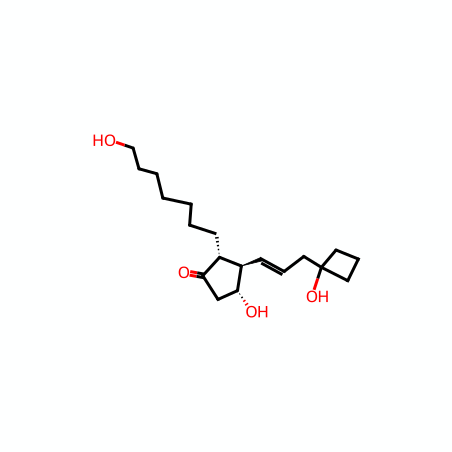 O=C1C[C@@H](O)[C@H](/C=C/CC2(O)CCC2)[C@H]1CCCCCCCO